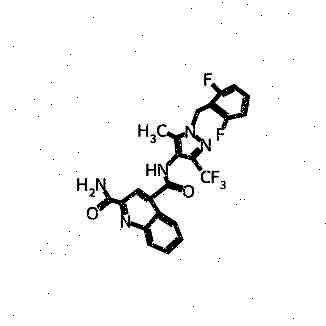 Cc1c(NC(=O)c2cc(C(N)=O)nc3ccccc23)c(C(F)(F)F)nn1Cc1c(F)cccc1F